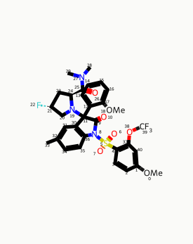 COc1ccc(S(=O)(=O)N2C(=O)C(c3ccccc3OC)(N3C[C@H](F)C[C@H]3C(=O)N(C)C)c3cc(C)ccc32)c(OC(F)(F)F)c1